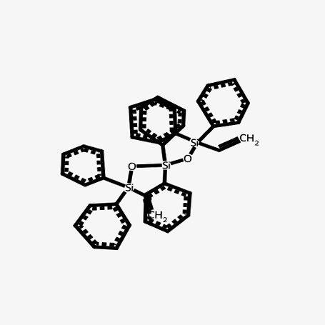 C=C[Si](O[Si](O[Si](C=C)(c1ccccc1)c1ccccc1)(c1ccccc1)c1ccccc1)(c1ccccc1)c1ccccc1